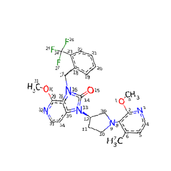 COc1nccc(C)c1N1CC[C@@H](n2c(=O)n(Cc3ccccc3C(F)(F)F)c3c(OC)nccc32)C1